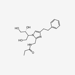 CCC(=O)NCc1nc(CCc2ccccc2)cn1C(CO)[C@@H](O)CO